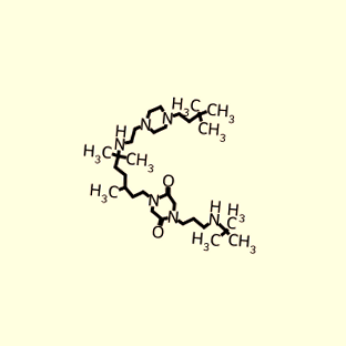 CC(CCN1CC(=O)N(CCCNC(C)(C)C)CC1=O)CCC(C)(C)NCCN1CCN(CCC(C)(C)C)CC1